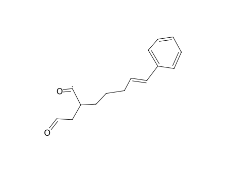 O=[C]C(CC=O)CCCC=Cc1ccccc1